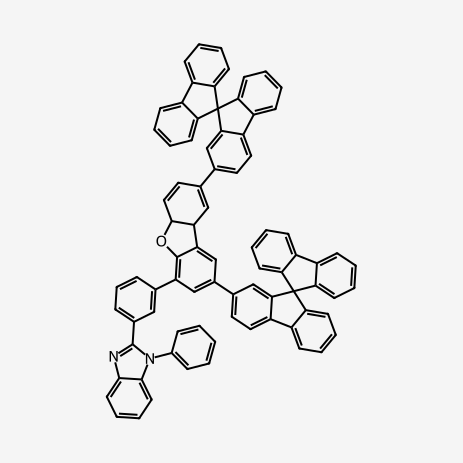 C1=CC2Oc3c(-c4cccc(-c5nc6ccccc6n5-c5ccccc5)c4)cc(-c4ccc5c(c4)C4(c6ccccc6-c6ccccc64)c4ccccc4-5)cc3C2C=C1c1ccc2c(c1)C1(c3ccccc3-c3ccccc31)c1ccccc1-2